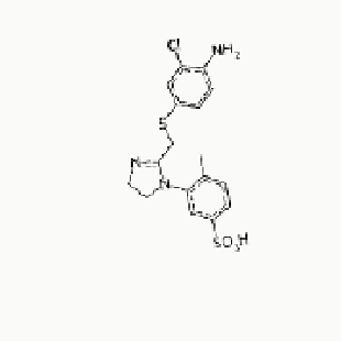 Cc1ccc(S(=O)(=O)O)cc1N1CCN=C1CSc1ccc(N)c(Cl)c1